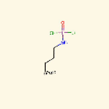 CCCCCCCCNP(=O)(Cl)Cl